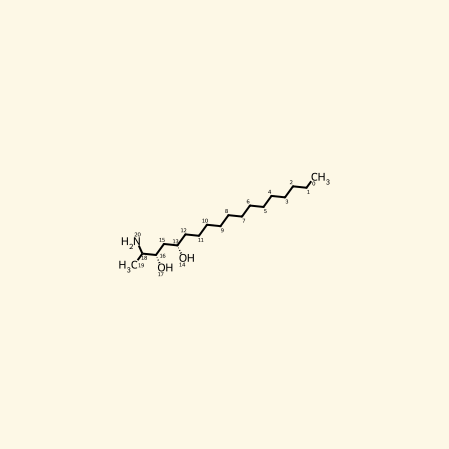 CCCCCCCCCCCCC[C@H](O)C[C@H](O)C(C)N